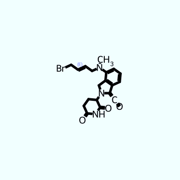 CN(C/C=C/CBr)c1cccc2c1CN(C1CCC(=O)NC1=O)C2=C=O